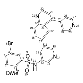 COc1ccc(Br)cc1S(=O)(=O)Nc1cncc(-c2ccc3nccc(-c4ccncc4)c3c2)c1